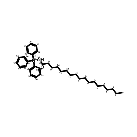 CCCCCCCCCCCCCCCCCC(=O)N[N+](c1ccccc1)(c1ccccc1)c1ccccc1